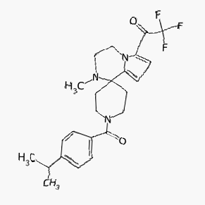 CC(C)c1ccc(C(=O)N2CCC3(CC2)c2ccc(C(=O)C(F)(F)F)n2CCN3C)cc1